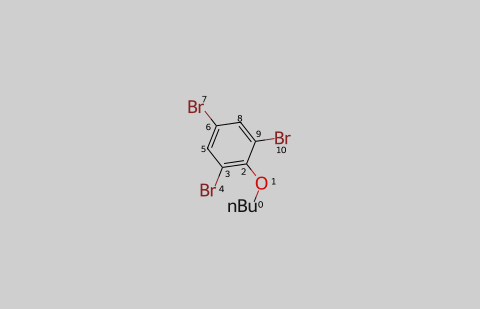 CCCCOc1c(Br)cc(Br)cc1Br